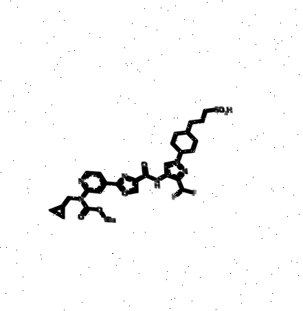 CC(C)(C)OC(=O)N(CC1CC1)c1cc(-c2nc(C(=O)Nc3cn(C4CCC(CCCS(=O)(=O)O)CC4)nc3C(F)F)co2)ccn1